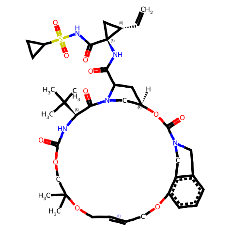 C=C[C@H]1C[C@@]1(NC(=O)C1C[C@@H]2CN1C(=O)[C@H](C(C)(C)C)NC(=O)OCC(C)(C)OC/C=C/COc1cccc3c1CN(C3)C(=O)O2)C(=O)NS(=O)(=O)C1CC1